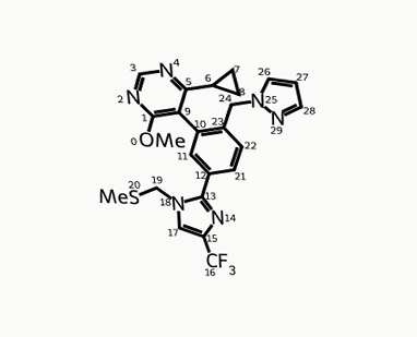 COc1ncnc(C2CC2)c1-c1cc(-c2nc(C(F)(F)F)cn2CSC)ccc1Cn1cccn1